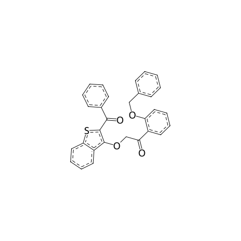 O=C(COc1c(C(=O)c2ccccc2)sc2ccccc12)c1ccccc1OCc1ccccc1